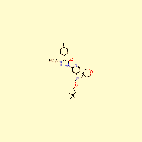 C[Si](C)(C)CCOCN1CC2(CCOCC2)c2cnc(NC(=O)C(NC(=O)O)[C@H]3CC[C@H](C)CC3)cc21